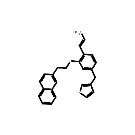 O=C(O)C=Cc1ccc(Cc2ccsc2)cc1OCCc1ccc2ccccc2c1